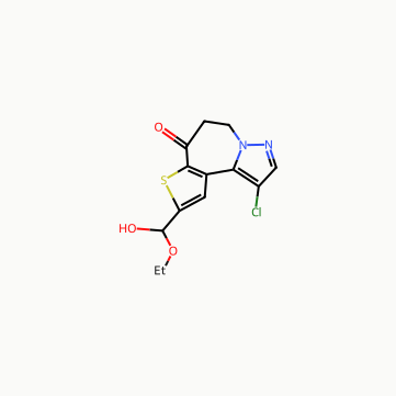 CCOC(O)c1cc2c(s1)C(=O)CCn1ncc(Cl)c1-2